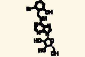 OC[C@H]1O[C@@H](n2cnc3c(NCc4c(O)cccc4Br)ncnc32)[C@H](O)[C@@H]1O